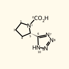 O=C(O)N1CCC[C@H]1c1nnn[nH]1